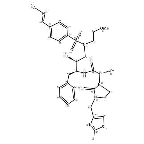 COCCN(C[C@H](O)[C@H](Cc1ccccc1)NC(=O)[C@H](C(C)C)N1CCN(Cc2csc(C)n2)C1=O)S(=O)(=O)c1ccc(C=NO)cc1